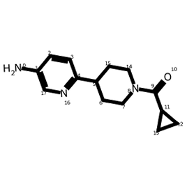 Nc1ccc(C2CCN(C(=O)C3CC3)CC2)nc1